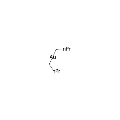 CCC[CH2][Au][CH2]CCC